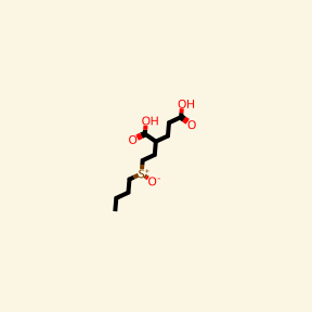 CCCC[S+]([O-])CCC(CCC(=O)O)C(=O)O